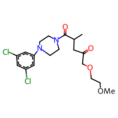 COCCOCC(=O)CC(C)C(=O)N1CCN(c2cc(Cl)cc(Cl)c2)CC1